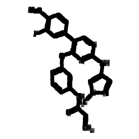 C=CC(=O)Nc1cccc(Oc2nc(Nc3cnn(C)c3)ncc2-c2ccc(OC)c(F)c2)c1